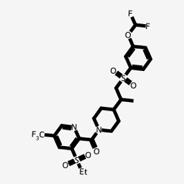 CCS(=O)(=O)c1cc(C(F)(F)F)cnc1C(=O)N1CCC(C(C)CS(=O)(=O)c2cccc(OC(F)F)c2)CC1